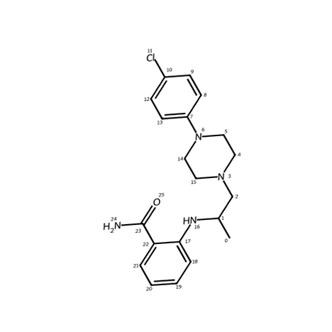 CC(CN1CCN(c2ccc(Cl)cc2)CC1)Nc1ccccc1C(N)=O